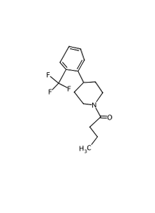 CCCC(=O)N1CCC(c2ccccc2C(F)(F)F)CC1